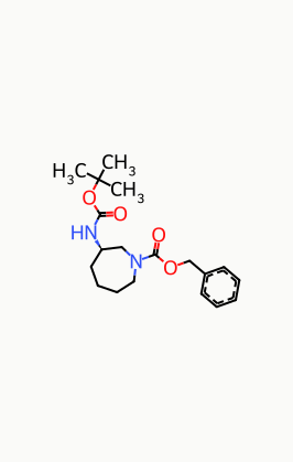 CC(C)(C)OC(=O)N[C@@H]1CCCCN(C(=O)OCc2ccccc2)C1